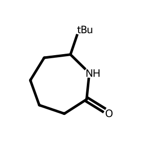 CC(C)(C)C1CCCCC(=O)N1